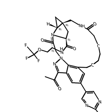 CC(=O)c1nn2c3c(cc(-c4cnc(C)nc4)cc13)CCCCCCC(=O)NC[C@@]13C[C@@H](C(=O)N[C@@H](C)COC(F)(F)F)N(C(=O)C2)[C@@H]1C3